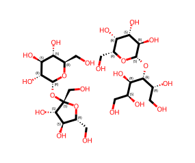 OC[C@@H](O)[C@@H](O[C@@H]1O[C@H](CO)[C@H](O)[C@H](O)[C@H]1O)[C@H](O)[C@@H](O)CO.OC[C@H]1O[C@@](CO)(O[C@H]2O[C@H](CO)[C@@H](O)[C@H](O)[C@H]2O)[C@@H](O)[C@@H]1O